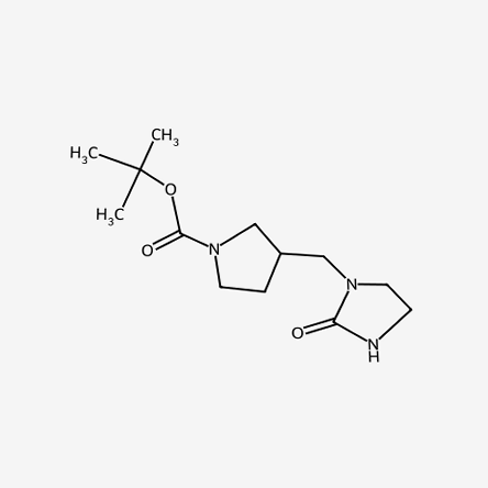 CC(C)(C)OC(=O)N1CCC(CN2CCNC2=O)C1